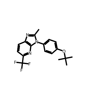 Cc1nc2ccc(C(F)(F)F)nc2n1-c1ccc(OC(C)(C)C)cc1